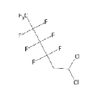 FC(F)(F)C(F)(F)C(F)(F)C(F)(F)CC(Cl)Cl